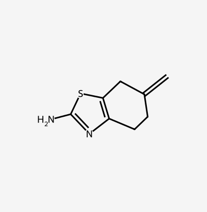 C=C1CCc2nc(N)sc2C1